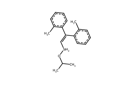 Cc1ccccc1C(=C[SiH2]OC(C)C)c1ccccc1C